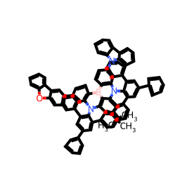 CC(C)(C)c1cc2c3c(c1)N(c1c(-c4ccccc4)cc(-c4ccccc4)cc1-c1ccccc1)c1cc(-n4c5ccccc5c5ccccc54)ccc1B3c1ccc(-c3ccc4oc5ccccc5c4c3)cc1N2c1c(-c2ccccc2)cc(-c2ccccc2)cc1-c1ccccc1